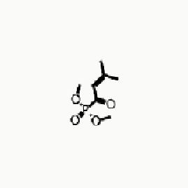 COP(=O)(OC)C(=O)C=C(C)C